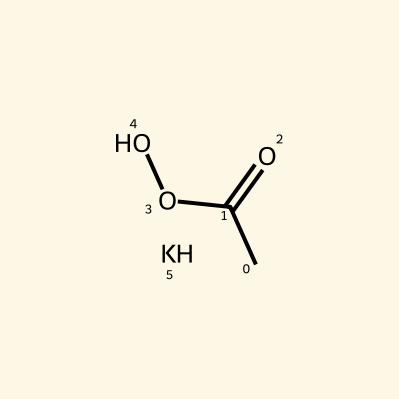 CC(=O)OO.[KH]